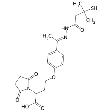 C/C(=N\NC(=O)CC(C)(C)S)c1ccc(OCCC(C(=O)O)N2C(=O)CCC2=O)cc1